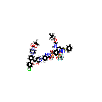 CN(CCO[Si](C)(C)C(C)(C)C)CCC(CSc1ccccc1)Nc1ccc(S(=O)(=O)NC(=O)c2ccc(N3CCC([C@@H](O)c4cc(N5CCN(C(=O)OC(C)(C)C)CC5)ccc4-c4ccc(Cl)cc4)CC3)cc2)cc1S(=O)(=O)C(F)(F)F